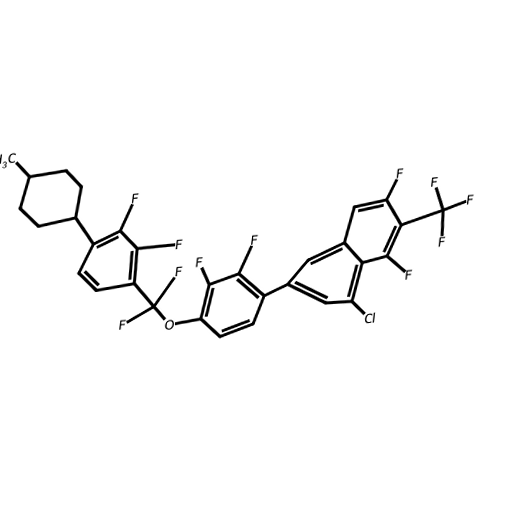 CC1CCC(c2ccc(C(F)(F)Oc3ccc(-c4cc(Cl)c5c(F)c(C(F)(F)F)c(F)cc5c4)c(F)c3F)c(F)c2F)CC1